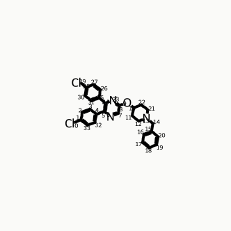 Clc1ccc(-c2ncc(OC3CCN(Cc4ccccc4)CC3)nc2-c2ccc(Cl)cc2)cc1